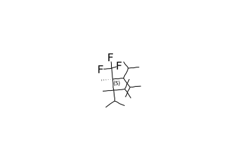 CC(C)C(C(C)C)[C@](C)(C(F)(F)F)C(C)(C(C)C)C(C)C